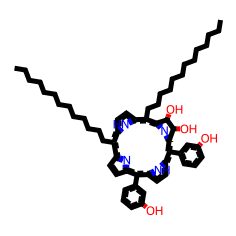 CCCCCCCCCCCCCc1c2nc(c(-c3cccc(O)c3)c3ccc([nH]3)c(-c3cccc(O)c3)c3nc(c(CCCCCCCCCCCCC)c4ccc1[nH]4)C(O)C3O)C=C2